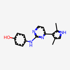 Cc1c[nH]c(C)c1-c1ccnc(Nc2ccc(O)cc2)n1